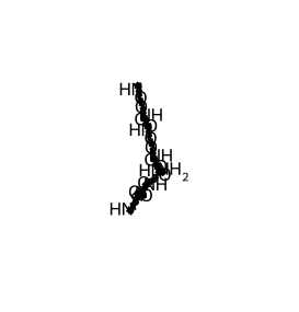 CC(=N)CCCSC1CC(=O)N(CCC(=O)NCCCC[C@H](NC(=O)CCC(=O)NCCOCCOCCNC(=O)CCC(=O)NCCOCCOCCNC(C)C)C(N)=O)C1=O